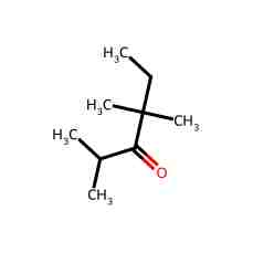 CCC(C)(C)C(=O)C(C)C